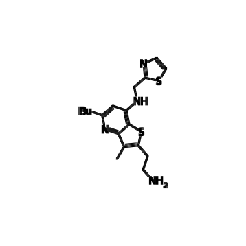 CCC(C)c1cc(NCc2nccs2)c2sc(CCN)c(C)c2n1